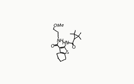 COCCCNC(=O)c1c(NC(=O)C2C(C)(C)C2(C)C)sc2c1CCCC2